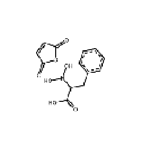 O=C(O)C(Cc1ccccc1)N(O)O.O=C1C=CC(=O)O1